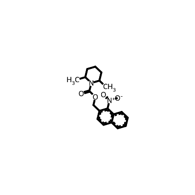 CC1CCCC(C)N1C(=O)OCc1ccc2ccccc2c1[N+](=O)[O-]